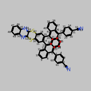 N#Cc1ccc(-c2c3ccccc3c(-c3cc4c(cc3-c3c5ccccc5c(-c5ccc(C#N)cc5)c5ccccc35)Sc3nc5ccccc5nc3S4)c3ccccc23)cc1